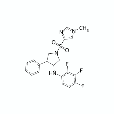 Cn1cnc(S(=O)(=O)N2CC(Nc3ccc(F)c(F)c3F)C(c3ccccc3)C2)c1